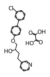 O=C(O)C(=O)O.O[C@H](CCc1cccnc1)COc1ccc(-c2cccc(Cl)c2)cc1